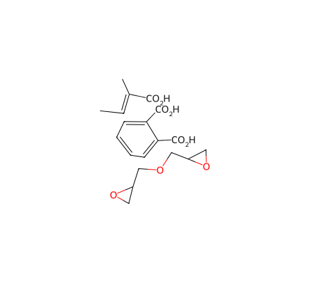 C(OCC1CO1)C1CO1.CC=C(C)C(=O)O.O=C(O)c1ccccc1C(=O)O